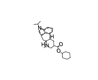 CC(C)n1cc2c3c(cccc31)[C@H]1CC(C(=O)OC3CCCCC3)CN(C)[C@@H]1C2